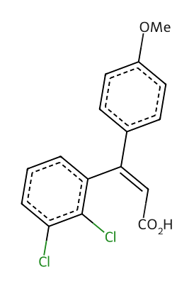 COc1ccc(/C(=C/C(=O)O)c2cccc(Cl)c2Cl)cc1